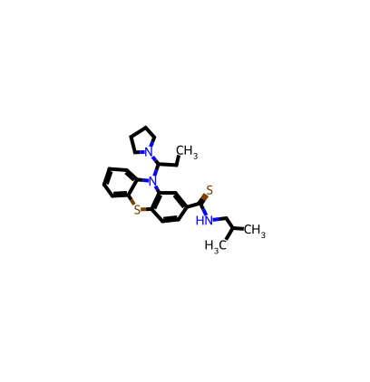 CCC(N1CCCC1)N1c2ccccc2Sc2ccc(C(=S)NCC(C)C)cc21